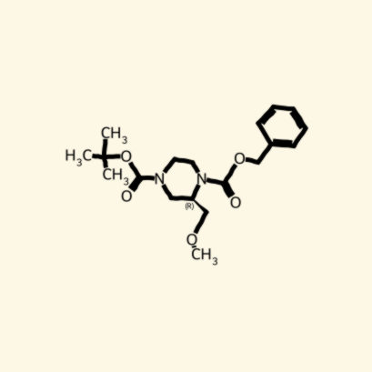 COC[C@H]1CN(C(=O)OC(C)(C)C)CCN1C(=O)OCc1ccccc1